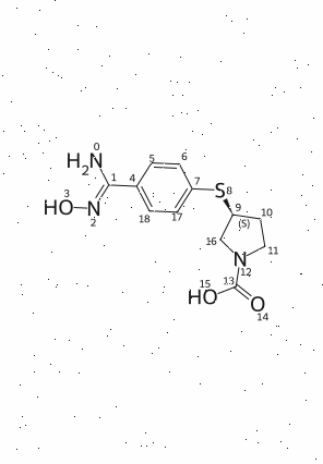 NC(=NO)c1ccc(S[C@H]2CCN(C(=O)O)C2)cc1